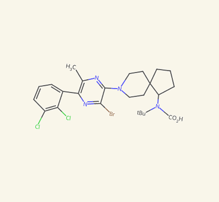 Cc1nc(N2CCC3(CCCC3N(C(=O)O)C(C)(C)C)CC2)c(Br)nc1-c1cccc(Cl)c1Cl